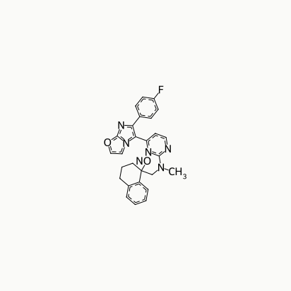 CN(CC1(N=O)CCCc2ccccc21)c1nccc(-c2c(-c3ccc(F)cc3)nc3occn23)n1